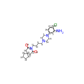 Nc1cc(N2CCN(CCCCN3C(=O)CC4(CCCC4)CC3=O)CC2)ccc1Cl